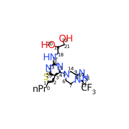 CCCc1cc2c(N3CCn4c(nnc4C(F)(F)F)C3)nc(NCC(O)CO)nc2s1